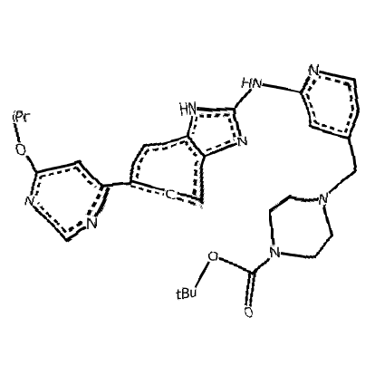 CC(C)Oc1cc(-c2ccc3nc(Nc4cc(CN5CCN(C(=O)OC(C)(C)C)CC5)ccn4)[nH]c3c2)ncn1